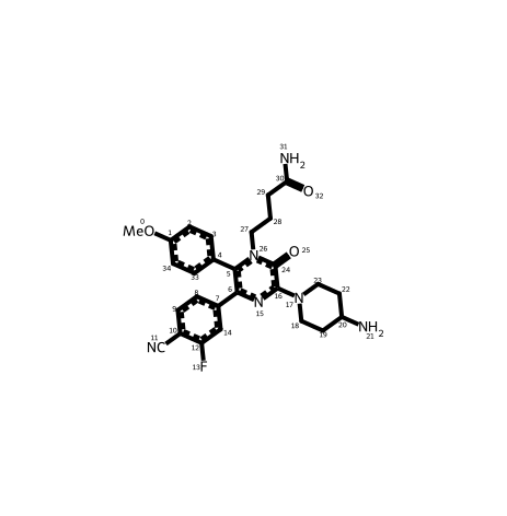 COc1ccc(-c2c(-c3ccc(C#N)c(F)c3)nc(N3CCC(N)CC3)c(=O)n2CCCC(N)=O)cc1